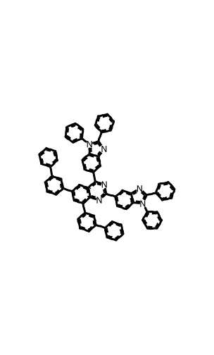 c1ccc(-c2cccc(-c3cc(-c4cccc(-c5ccccc5)c4)c4nc(-c5ccc6c(c5)nc(-c5ccccc5)n6-c5ccccc5)nc(-c5ccc6c(c5)nc(-c5ccccc5)n6-c5ccccc5)c4c3)c2)cc1